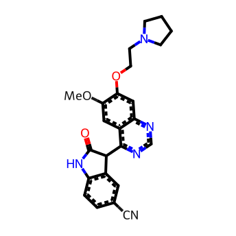 COc1cc2c(C3C(=O)Nc4ccc(C#N)cc43)ncnc2cc1OCCN1CCCC1